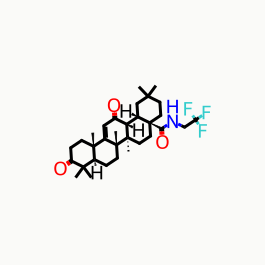 CC1(C)CC[C@]2(C(=O)NCC(F)(F)F)CC[C@]3(C)[C@H](C(=O)C=C4[C@@]5(C)CCC(=O)C(C)(C)[C@@H]5CC[C@]43C)[C@@H]2C1